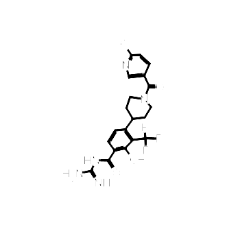 Cc1ccc(C(=O)N2CCC(c3ccc(C(=O)NC(=N)N)c(C)c3C(F)(F)F)CC2)cn1